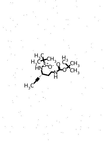 CC#C[C@@H](CCNC(=O)OC(C)(C)C)N[S@+]([O-])C(C)(C)C